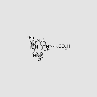 Cc1cc2c(cc1/N=C1/C(C(C)(C)C)=Nn3nc(C(C)CNS(C)(=O)=O)nc31)C(C)CC(C)(C)N2CCCCC(=O)O